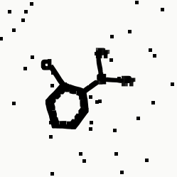 CC(C)[Si](c1ccccc1Cl)C(C)C